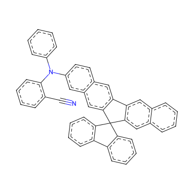 N#Cc1ccccc1N(c1ccccc1)c1ccc2cc3c(cc2c1)C1(c2ccccc2-c2ccccc21)c1cc2ccccc2cc1-3